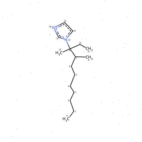 CCCCCCCC(C)C(C)(CC)n1ccnc1